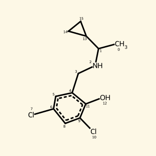 CC(NCc1cc(Cl)cc(Cl)c1O)C1CC1